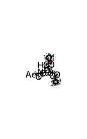 CC(=O)CC(=O)NOC1C[C@H](OC(=O)c2ccccc2)C[C@H](COC(=O)c2ccccc2)O1